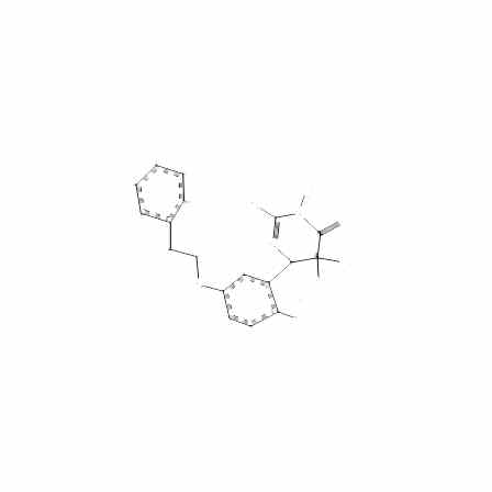 CN1C(=O)C(C)(C)[C@@](C)(c2cc(NCCc3ccccc3)ccc2F)N=C1N